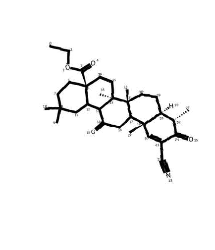 CCOC(=O)[C@]12CCC(C)(C)CC1C1C(=O)CC3[C@@]4(C)C=C(C#N)C(=O)[C@@H](C)[C@@H]4CC[C@@]3(C)[C@]1(C)CC2